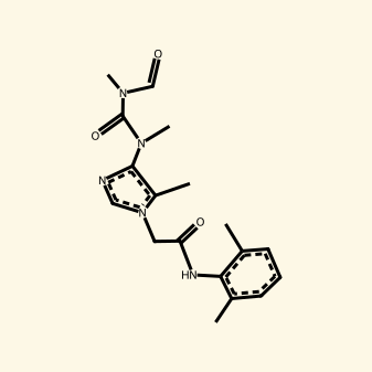 Cc1cccc(C)c1NC(=O)Cn1cnc(N(C)C(=O)N(C)C=O)c1C